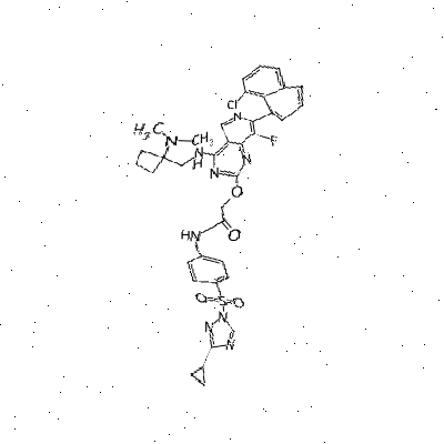 CN(C)C1(CNc2nc(OCC(=O)Nc3ccc(S(=O)(=O)n4cnc(C5CC5)n4)cc3)nc3c(F)c(-c4cccc5cccc(Cl)c45)ncc23)CCC1